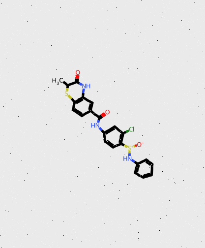 CC1Sc2ccc(C(=O)Nc3ccc([S+]([O-])Nc4ccccc4)c(Cl)c3)cc2NC1=O